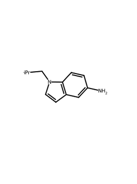 C[C](C)Cn1ccc2cc(N)ccc21